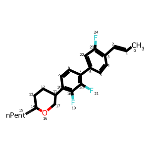 C/C=C/c1ccc(-c2ccc(C3CCC(CCCCC)OC3)c(F)c2F)cc1F